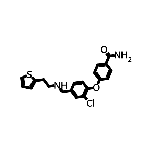 NC(=O)c1ccc(Oc2ccc(CNCCc3cccs3)cc2Cl)cc1